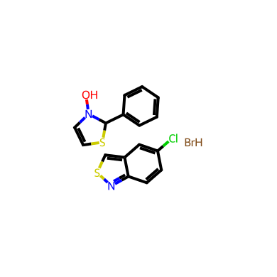 Br.Clc1ccc2nscc2c1.ON1C=CSC1c1ccccc1